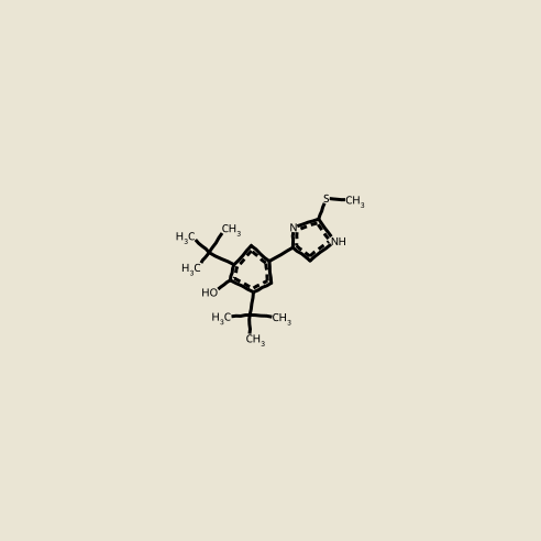 CSc1nc(-c2cc(C(C)(C)C)c(O)c(C(C)(C)C)c2)c[nH]1